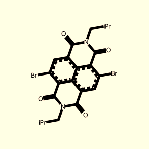 CC(C)CN1C(=O)c2cc(Br)c3c4c(cc(Br)c(c24)C1=O)C(=O)N(CC(C)C)C3=O